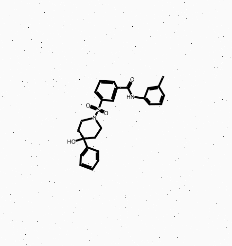 Cc1cccc(NC(=O)c2cccc(S(=O)(=O)N3CCC(O)(c4ccccc4)CC3)c2)c1